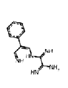 N=C/C(=C\NC(=N)C(=N)N)c1ccccc1